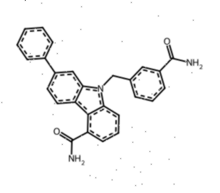 NC(=O)c1cccc(Cn2c3cc(-c4ccccc4)c[c]c3c3c(C(N)=O)cccc32)c1